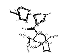 Cc1ccc(-c2sc(C)nc2C(=O)N2C[C@@H]3CCC[C@@H]3[C@H]2C(N)=O)cc1